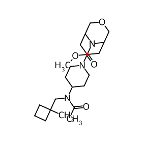 COC(=O)N1C2COCC1CC(N1CCC(N(CC3(C)CCC3)C(C)=O)CC1)C2